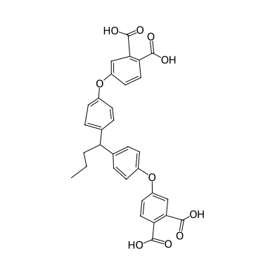 CCCC(c1ccc(Oc2ccc(C(=O)O)c(C(=O)O)c2)cc1)c1ccc(Oc2ccc(C(=O)O)c(C(=O)O)c2)cc1